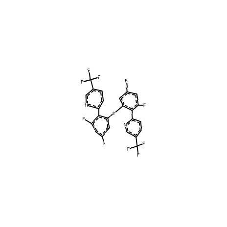 Fc1cc(F)c(-c2ccc(C(F)(F)F)cn2)[c]([Ir][c]2cc(F)cc(F)c2-c2ccc(C(F)(F)F)cn2)c1